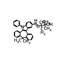 CC1(C)c2ccccc2-c2c(n(-c3ccccc3)c3ccc(BOC(C)(C)C(C)(C)O)cc23)-c2ccccc21